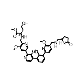 COC(=O)[C@@H](CCO)NCc1ncc(-c2nccc(-c3cccc(-c4ccc(CNC[C@H]5CCC(=O)N5)c(OC)n4)c3Cl)c2Cl)cc1OC